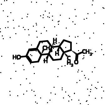 CC(=O)[C@H]1CC[C@H]2[C@@H]3CCC4=CC(O)=CC[C@]4(C)[C@H]3CC[C@]12C